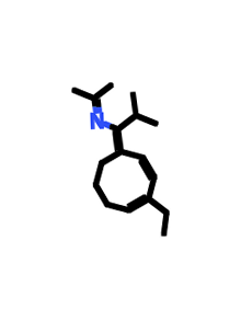 CCC1=C/CCCC(=C(\N=C(C)C)C(C)C)/C=C\1